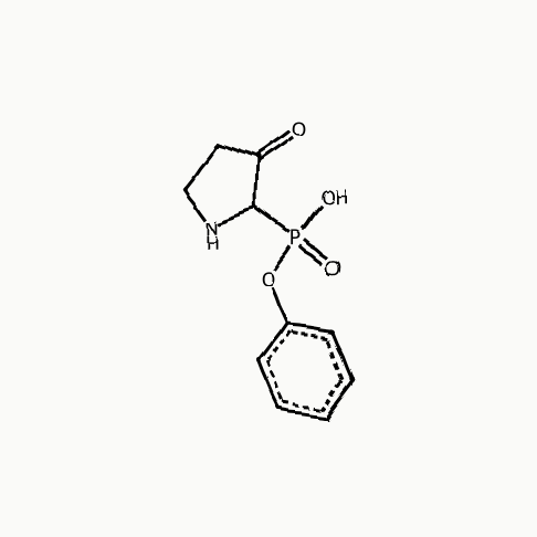 O=C1CCNC1P(=O)(O)Oc1ccccc1